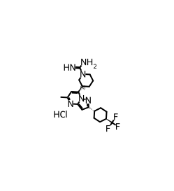 Cc1cc([C@@H]2CCCN(C(=N)N)C2)n2nc([C@H]3CC[C@H](C(F)(F)F)CC3)cc2n1.Cl